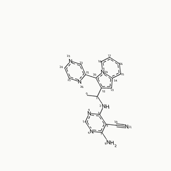 CC(Nc1ncnc(N)c1C#N)c1cc2ccccn2c1-c1cnccn1